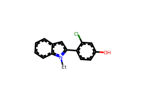 CCn1c(-c2ccc(O)cc2Cl)cc2ccccc21